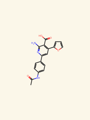 CC(=O)Nc1ccc(-c2cc(-c3ccco3)c(C(=O)O)c(N)n2)cc1